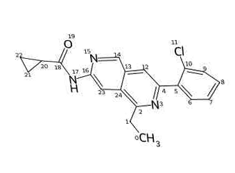 CCc1nc(-c2ccccc2Cl)cc2cnc(NC(=O)C3CC3)cc12